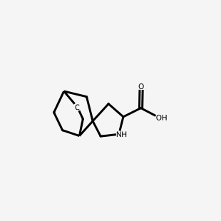 O=C(O)C1CC2(CN1)CC1CCC2CC1